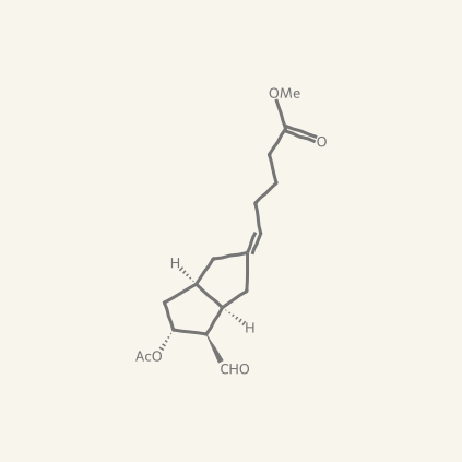 COC(=O)CCC/C=C1\C[C@@H]2C[C@@H](OC(C)=O)[C@H](C=O)[C@@H]2C1